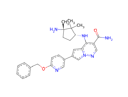 CC1(C)[C@H](Nc2c(C(N)=O)cnn3cc(-c4ccc(OCc5ccccc5)nc4)cc23)CC[C@]1(C)N